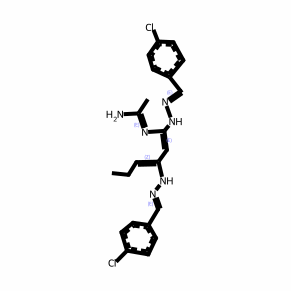 CC/C=C(/C=C(\N=C(/C)N)N/N=C/c1ccc(Cl)cc1)N/N=C/c1ccc(Cl)cc1